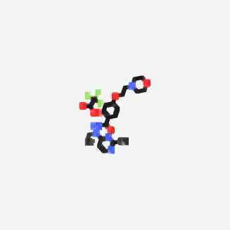 CC(C)CN(NC(=O)c1ccc(OCCN2CCOCC2)cc1)c1ccnc(C#N)n1.O=C(O)C(F)(F)F